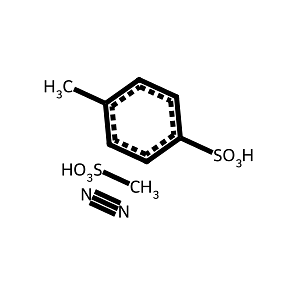 CS(=O)(=O)O.Cc1ccc(S(=O)(=O)O)cc1.N#N